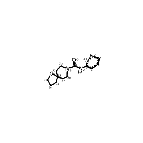 O=C(Nc1cccnn1)N1CCC2(CCCO2)CC1